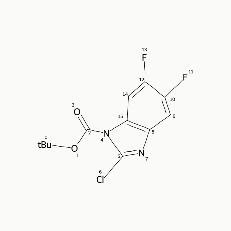 CC(C)(C)OC(=O)n1c(Cl)nc2cc(F)c(F)cc21